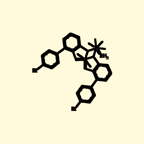 CCc1ccc(-c2cccc3c2C=C(C)[CH]3[Zr]([CH3])([CH3])([CH3])([CH3])(=[SiH2])[CH]2C(C)=Cc3c(-c4ccc(CC)cc4)cccc32)cc1